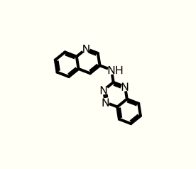 c1ccc2ncc(Nc3nnc4ccccc4n3)cc2c1